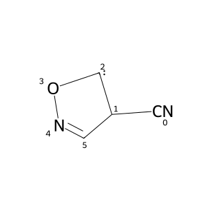 N#CC1[C]ON=C1